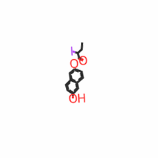 CCC(I)C(=O)Oc1ccc2cc(O)ccc2c1